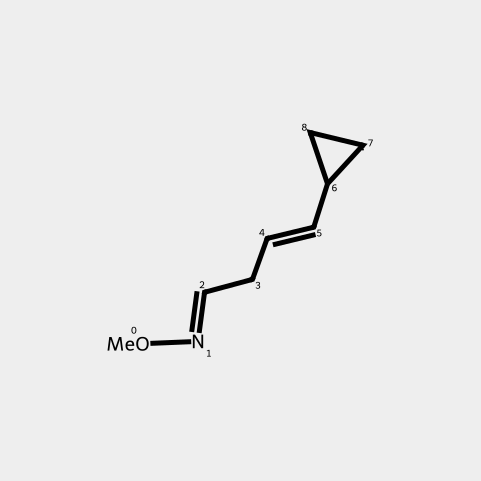 CON=CCC=CC1[CH]C1